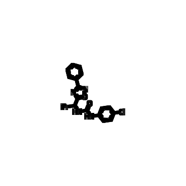 CC(C)C(NC(=O)Nc1ccc(Cl)cc1)c1nc(-c2ccccc2)no1